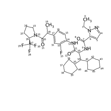 CCn1nccc1C(=O)NC(C(=O)Nc1ccc(C(C)C(=O)N2CCC[C@@H]2C(F)(F)F)cc1F)C(C1CCCCC1)C1CCCCC1